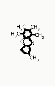 C=c1c(C)c(C)c2c(c1C)Oc1ccc(C)cc1N=2